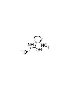 NC(CO)C(O)c1ccccc1[N+](=O)[O-]